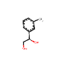 OC[C@H](O)c1cccc(C(F)(F)F)c1